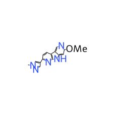 COc1cc2[nH]c3nc(-c4cnn(C)c4)ccc3c2cn1